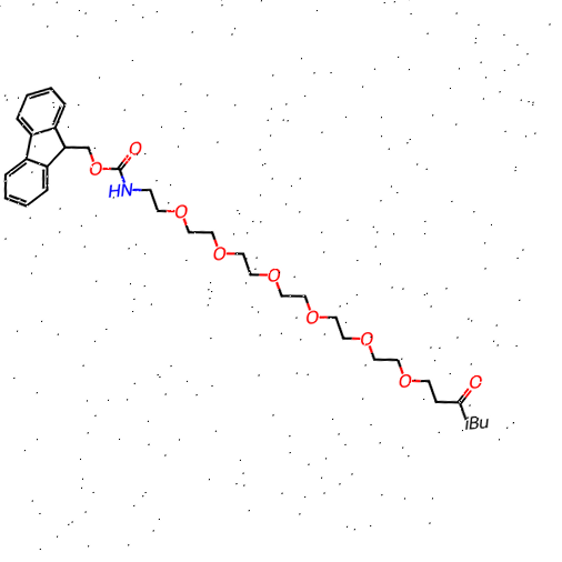 CCC(C)C(=O)CCOCCOCCOCCOCCOCCOCCNC(=O)OCC1c2ccccc2-c2ccccc21